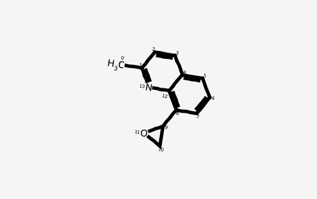 Cc1ccc2cccc(C3CO3)c2n1